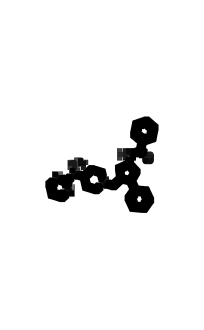 CCCN(c1ncccn1)C1CCN(CC2CC(NC(=O)c3ccccc3)CC2c2ccccc2)CC1